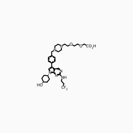 O=C(O)COCCOCCN1CCN(Cc2ccc(-c3cn([C@H]4CC[C@H](O)CC4)c4nc(NCCC(F)(F)F)ncc34)cc2)CC1